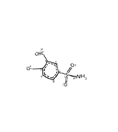 NS(=O)(=O)c1ccc(Cl)c([C]=O)c1